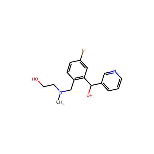 CN(CCO)Cc1ccc(Br)cc1C(O)c1cccnc1